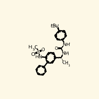 C[C@@H](NC(=O)Nc1ccc(C(C)(C)C)cc1)c1ccc(NS(C)(=O)=O)c(-c2ccccc2)c1